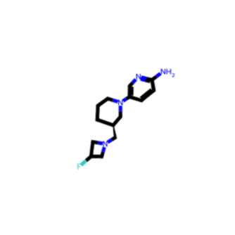 Nc1ccc(N2CCC[C@H](CN3CC(F)C3)C2)cn1